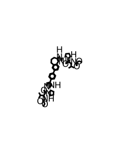 COC(=O)NC(C(=O)N1CCC[C@H]1c1ncc(-c2ccc(-c3ccc4c(c3)CCCc3[nH]c([C@@H]5CCCN5C(=O)[C@@H](NC(=O)OC)C(C)C)nc3-4)cc2)[nH]1)C(C)C